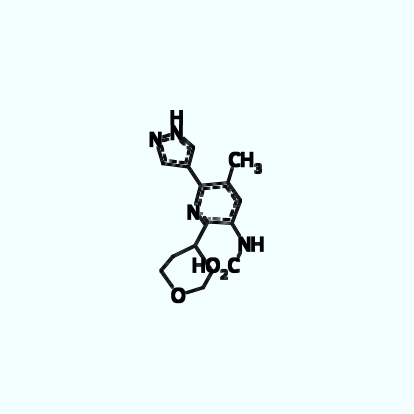 Cc1cc(NC(=O)O)c(C2CCOCC2)nc1-c1cn[nH]c1